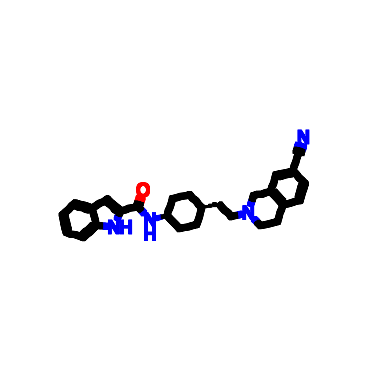 N#Cc1ccc2c(c1)CN(CC[C@H]1CC[C@H](NC(=O)c3cc4ccccc4[nH]3)CC1)CC2